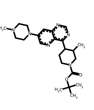 CC1CN(C(=O)OC(C)(C)C)CCC1c1ncnc2cc(N3CCN(C)CC3)cnc12